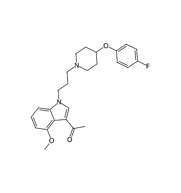 COc1cccc2c1c(C(C)=O)cn2CCCN1CCC(Oc2ccc(F)cc2)CC1